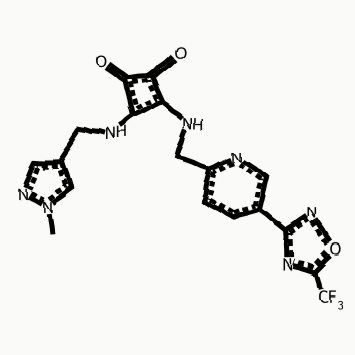 Cn1cc(CNc2c(NCc3ccc(-c4noc(C(F)(F)F)n4)cn3)c(=O)c2=O)cn1